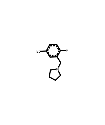 CCc1ccc(F)c(CN2CCCC2)c1